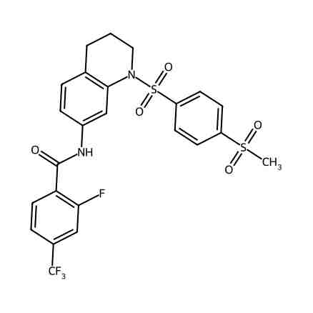 CS(=O)(=O)c1ccc(S(=O)(=O)N2CCCc3ccc(NC(=O)c4ccc(C(F)(F)F)cc4F)cc32)cc1